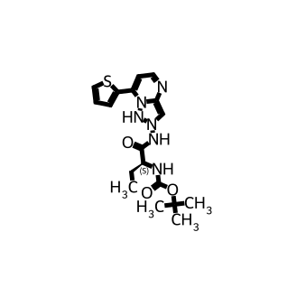 CC[C@H](NC(=O)OC(C)(C)C)C(=O)NN1C=C2N=CC=C(c3cccs3)N2N1